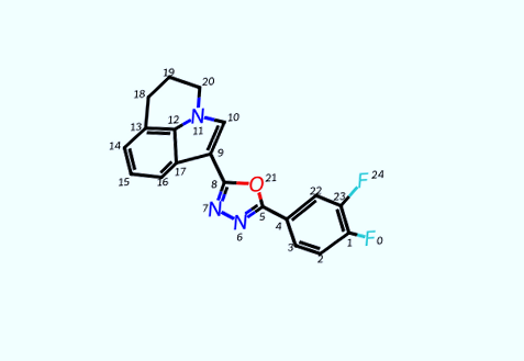 Fc1ccc(-c2nnc(-c3cn4c5c(cccc35)CCC4)o2)cc1F